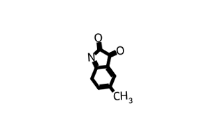 CC1=CCC2=NC(=O)C(=O)C2=C1